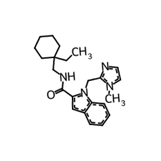 CCC1(CNC(=O)c2cc3ccccc3n2Cc2nccn2C)CCCCC1